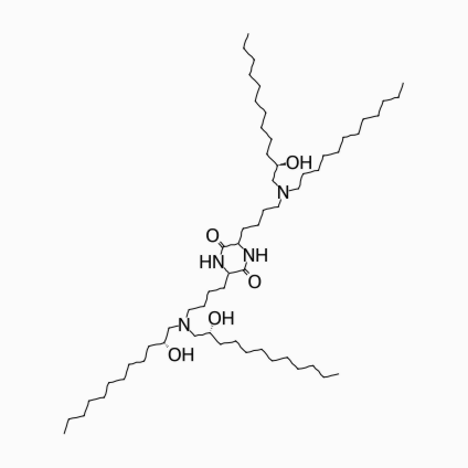 CCCCCCCCCCCCN(CCCCC1NC(=O)C(CCCCN(C[C@H](O)CCCCCCCCCC)C[C@H](O)CCCCCCCCCC)NC1=O)C[C@H](O)CCCCCCCCCC